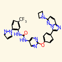 O=C(Nc1cnc(Oc2ccc(-c3cnc4ccc(N5CCC5)nn34)cc2)nc1)Nc1cc(C(F)(F)F)ccc1-n1cccn1